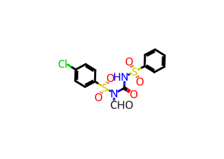 O=CN(C(=O)NS(=O)(=O)c1ccccc1)S(=O)(=O)c1ccc(Cl)cc1